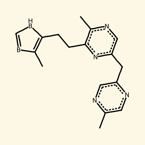 CC1=C(CCc2nc(Cc3cnc(C)cn3)cnc2C)BC=B1